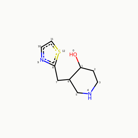 OC1CCNCC1Cc1nccs1